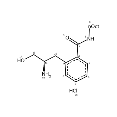 CCCCCCCCNC(=O)c1ccccc1C[C@@H](N)CO.Cl